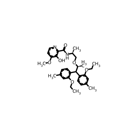 CCOc1cc(C)ccc1C(c1ccc(C)cc1OCC)[C@H](C)OC[C@H](C)NC(=O)c1nccc(OC)c1O